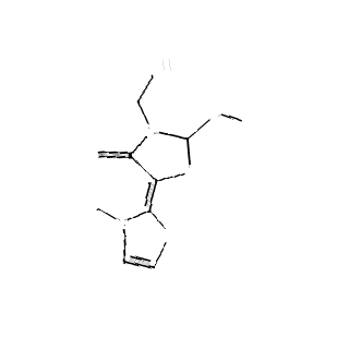 CCN1C(=O)C(=C2SC=CN2C)SC1SC